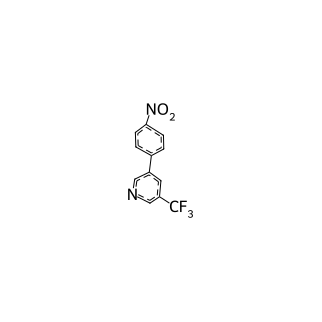 O=[N+]([O-])c1ccc(-c2cncc(C(F)(F)F)c2)cc1